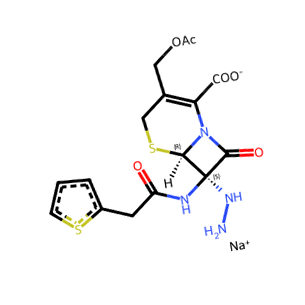 CC(=O)OCC1=C(C(=O)[O-])N2C(=O)[C@@](NN)(NC(=O)Cc3cccs3)[C@H]2SC1.[Na+]